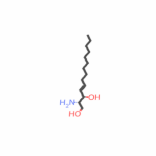 CCCCCCCCC/C=C/[C@@H](O)[C@@H](N)CO